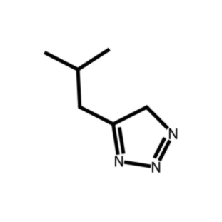 CC(C)CC1=NN=NC1